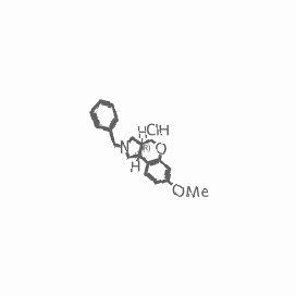 COc1ccc2c(c1)OC[C@H]1CN(Cc3ccccc3)C[C@@H]21.Cl